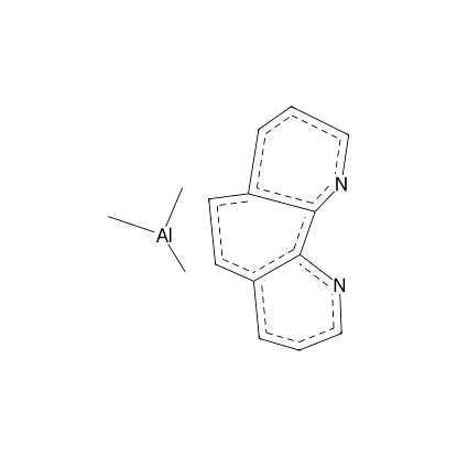 [CH3][Al]([CH3])[CH3].c1cnc2c(c1)ccc1cccnc12